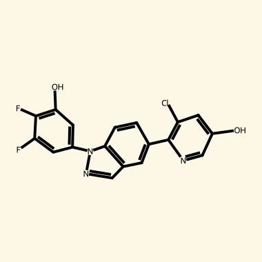 Oc1cnc(-c2ccc3c(cnn3-c3cc(O)c(F)c(F)c3)c2)c(Cl)c1